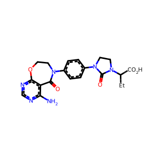 CCC(C(=O)O)N1CCN(c2ccc(N3CCOc4ncnc(N)c4C3=O)cc2)C1=O